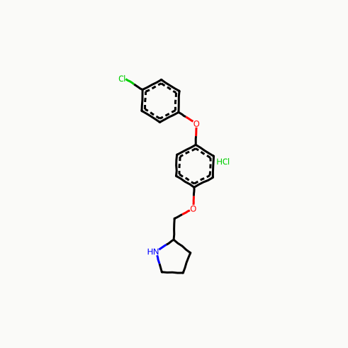 Cl.Clc1ccc(Oc2ccc(OCC3CCCN3)cc2)cc1